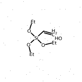 C=C[Si](OCC)(OCC)OCC.[OH]